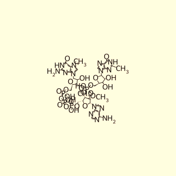 COC1[C@@H](OP(=O)(O)OC[C@H]2O[C@@H](n3cnc4c(=O)[nH]c(C)nc43)C(O)[C@H]2O)[C@@H](COP(=O)(O)OP(=O)(O)OP(=O)(O)OC[C@H]2O[C@@H](n3c[n+](C)c4c(=O)[nH]c(N)nc43)C(O)[C@H]2OC)O[C@H]1n1cnc2c(N)ncnc21